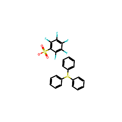 O=S(=O)([O-])c1c(F)c(F)c(F)c(F)c1F.c1ccc([S+](c2ccccc2)c2ccccc2)cc1